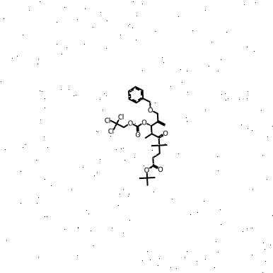 C=C(COCc1ccccc1)[C@H](OC(=O)OCC(Cl)(Cl)Cl)C(C)C(=O)C(C)(C)CCC(=O)OC(C)(C)C